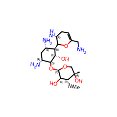 CN[C@@H]1[C@@H](O)[C@@H](O[C@@H]2[C@@H](O)[C@H](C3OC(CN)=CC[C@H]3N)[C@@H](N)C[C@H]2N)OC[C@]1(C)O